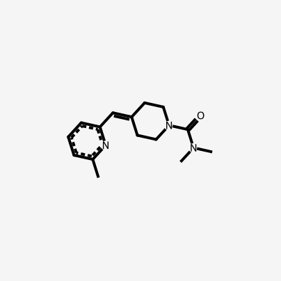 Cc1cccc(C=C2CCN(C(=O)N(C)C)CC2)n1